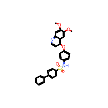 COc1cc2nccc(Oc3ccc(NS(=O)(=O)c4ccc(-c5ccccc5)cc4)cc3)c2cc1OC